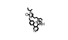 CCCCCc1cn(C(C)CC)c(=O)n1Cc1ccc(-c2cnccc2-c2nnn[nH]2)cc1